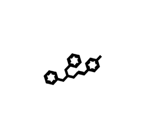 Cc1ccc(C=CCC(Cc2ccccc2)Cc2ccccc2)cc1